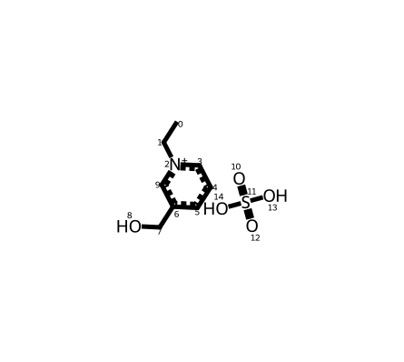 CC[n+]1cccc(CO)c1.O=S(=O)(O)O